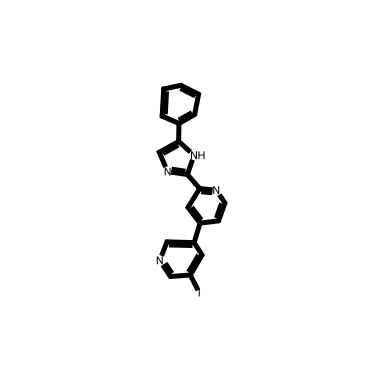 Ic1cncc(-c2ccnc(-c3ncc(-c4ccccc4)[nH]3)c2)c1